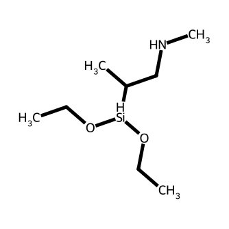 CCO[SiH](OCC)C(C)CNC